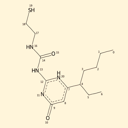 CCCCC(CC)c1cc(=O)nc(NC(=O)NCCS)[nH]1